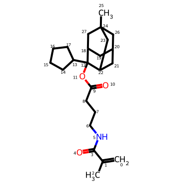 C=C(C)C(=O)NCCCC(=O)OC1(C2CCCC2)C2CC3CC1CC(C)(C3)C2